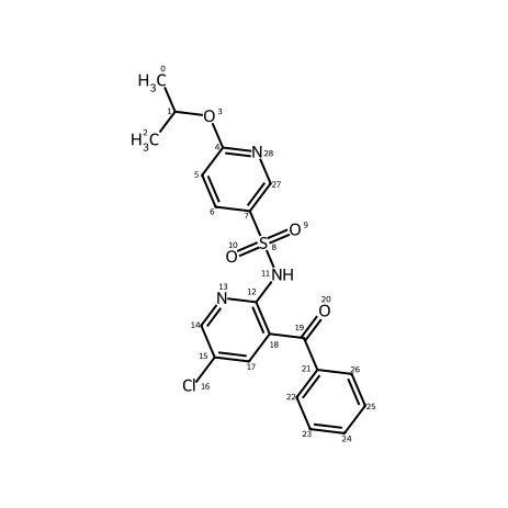 CC(C)Oc1ccc(S(=O)(=O)Nc2ncc(Cl)cc2C(=O)c2ccccc2)cn1